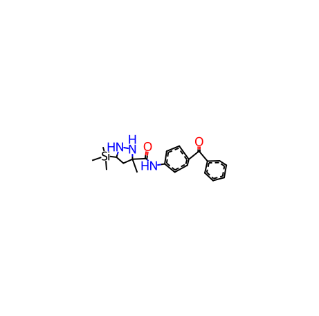 CC1(C(=O)Nc2ccc(C(=O)c3ccccc3)cc2)CC([Si](C)(C)C)NN1